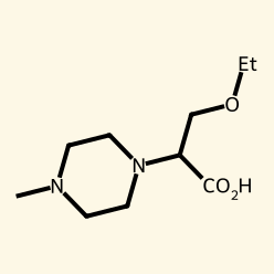 CCOCC(C(=O)O)N1CCN(C)CC1